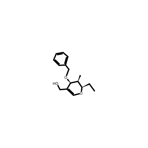 CC[C@H]1OC=C(CO)[C@@H](OCc2ccccc2)[C@H]1C